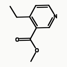 CCc1ccncc1C(=O)OC